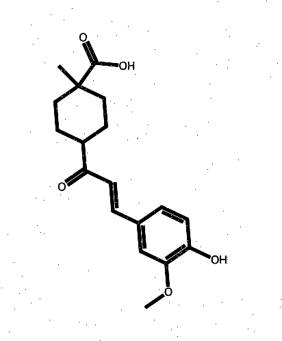 COc1cc(/C=C/C(=O)C2CCC(C)(C(=O)O)CC2)ccc1O